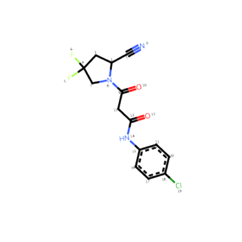 N#CC1CC(F)(F)CN1C(=O)CC(=O)Nc1ccc(Cl)cc1